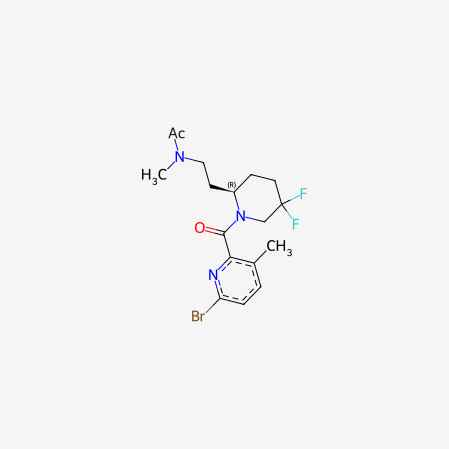 CC(=O)N(C)CC[C@H]1CCC(F)(F)CN1C(=O)c1nc(Br)ccc1C